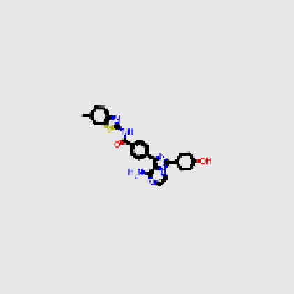 CC1CCc2nc(NC(=O)c3ccc(-c4nc(C5CCC(O)CC5)n5ccnc(N)c45)cc3)sc2C1